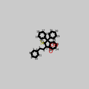 O=C(O)C(CCc1ccccc1)C(=S)C(c1ccccc1)(c1ccccc1)c1ccccc1